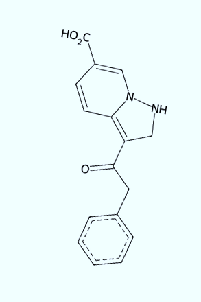 O=C(O)C1=CN2NCC(C(=O)Cc3ccccc3)=C2C=C1